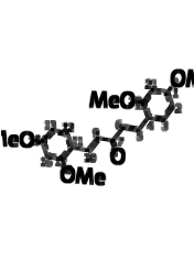 COc1ccc(C=CC(=O)C=Cc2ccc(OC)cc2OC)c(OC)c1